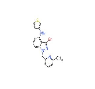 Cc1cccc(Cn2nc(Br)c3c(Nc4ccsc4)cccc32)n1